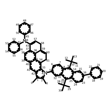 Cc1c(C)n(-c2ccc3c(C(C)(C)C)c4cc(-c5ccccc5)ccc4c(C(C)(C)C)c3c2)c2c3c4c5c(ccc4cc12)C(N(c1ccccc1)c1ccccc1)=CCC5=CC3